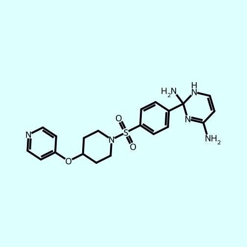 NC1=NC(N)(c2ccc(S(=O)(=O)N3CCC(Oc4ccncc4)CC3)cc2)NC=C1